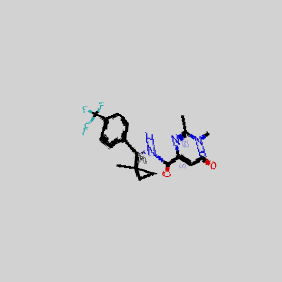 CN/C(C)=N\C(=C/C=O)C(=O)N[C@@H](c1ccc(C(F)(F)F)cc1)C1(C)CC1